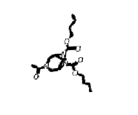 CCCCOC(=O)N1C2CC(CN(C(C)=O)C2)N1C(=O)OCCCC